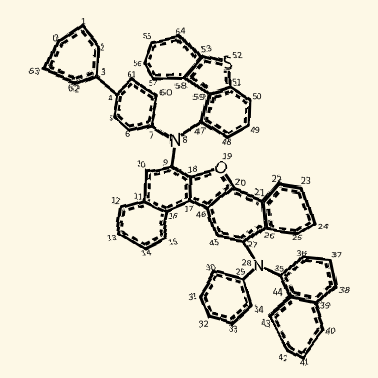 c1ccc(-c2ccc(N(c3cc4ccccc4c4c3oc3c5ccccc5c(N(c5ccccc5)c5cccc6ccccc56)cc34)c3cccc4sc5ccccc5c34)cc2)cc1